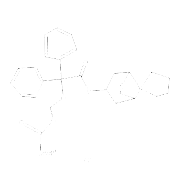 CCCCCCCC(=O)OCOC(C(=O)OC1CC2CCC(C1)[N+]21CCCC1)(c1ccccc1)c1ccccc1.[Cl-]